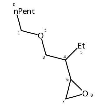 CCCCCCOCC(CC)C1CO1